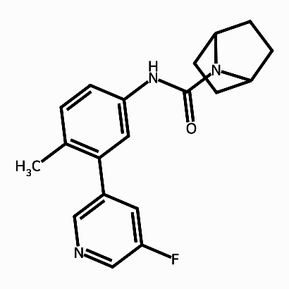 Cc1ccc(NC(=O)N2C3CCC2CC3)cc1-c1cncc(F)c1